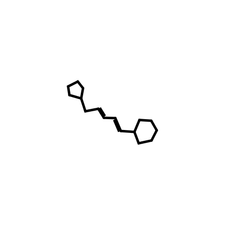 C(C=CC1CCCCC1)=CCC1CCCC1